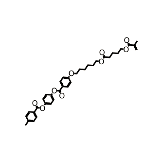 C=C(C)C(=O)OCCCCC(=O)OCCCCCCOc1ccc(C(=O)Oc2ccc(OC(=O)c3ccc(C)cc3)cc2)cc1